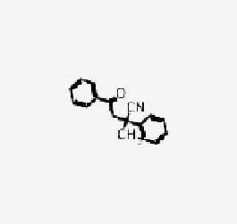 CC(C#N)(CC(=O)c1ccccc1)c1ccccc1